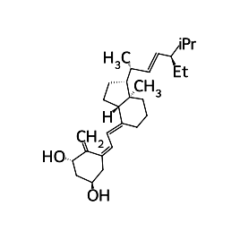 C=C1/C(=C\C=C2/CCC[C@]3(C)[C@@H]([C@H](C)/C=C/[C@H](CC)C(C)C)CC[C@@H]23)C[C@@H](O)C[C@@H]1O